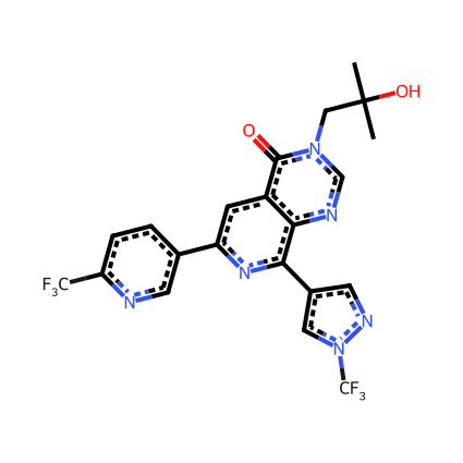 CC(C)(O)Cn1cnc2c(-c3cnn(C(F)(F)F)c3)nc(-c3ccc(C(F)(F)F)nc3)cc2c1=O